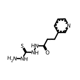 NNC(=S)NNC(=O)CCc1cccnc1